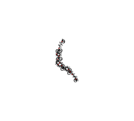 O=C(CCCCCC1CO1)Oc1ccc(C(=O)Oc2ccc3ccc(OC(=O)c4ccc(OC(=O)CCCCCC5CO5)cc4)cc3c2)cc1